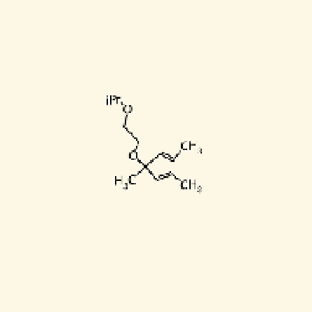 CC=CC(C)(C=CC)OCCOC(C)C